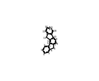 c1ccc2c(c1)Cc1ccc3c(c1-2)Cc1ccncc1-3